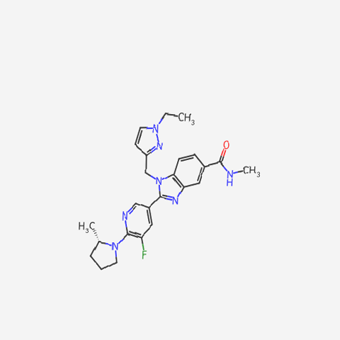 CCn1ccc(Cn2c(-c3cnc(N4CCC[C@@H]4C)c(F)c3)nc3cc(C(=O)NC)ccc32)n1